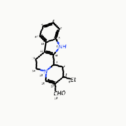 CCC1CC2c3[nH]c4ccccc4c3CCN2C=C1C=O